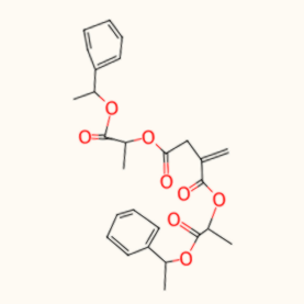 C=C(CC(=O)OC(C)C(=O)OC(C)c1ccccc1)C(=O)OC(C)C(=O)OC(C)c1ccccc1